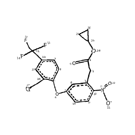 O=C(Cc1cc(Oc2ccc(C(F)(F)F)cc2Cl)ccc1[N+](=O)[O-])OC1CC1